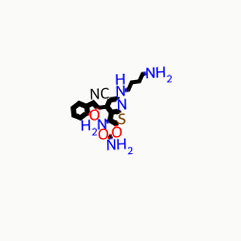 N#Cc1c(NCCCCN)nc2sc(OC(N)=O)c(N)c2c1-c1cc2ccccc2o1